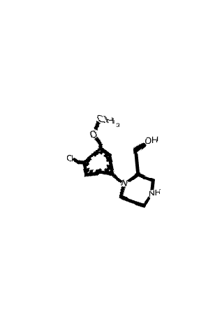 COc1cc(N2CCNCC2CO)ccc1Cl